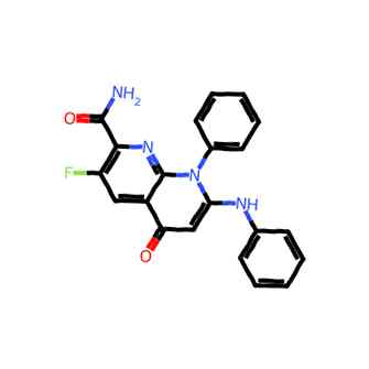 NC(=O)c1nc2c(cc1F)c(=O)cc(Nc1ccccc1)n2-c1ccccc1